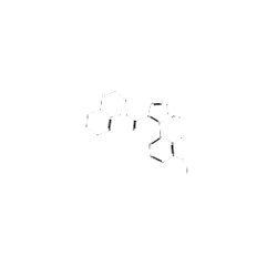 COc1cccc(-c2c(C(=O)N3CCCC4CCCC=C43)cnn2C)c1F